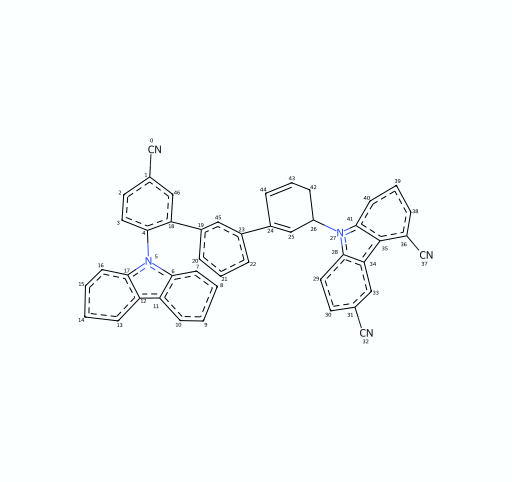 N#Cc1ccc(-n2c3ccccc3c3ccccc32)c(-c2cccc(C3=CC(n4c5ccc(C#N)cc5c5c(C#N)cccc54)CC=C3)c2)c1